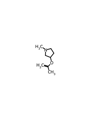 C=C(C)OC1CCN(C)C1